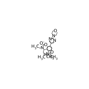 CCN(C(=O)[O-])C1C[C@H](C)[N@+](C)(C(C)=O)c2ccc(-c3cnc(N4CCOCC4)nc3)cc21